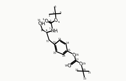 CC(C)(C)OC(=O)N[C@H](CO)Cc1ccc(OC(=O)OC(C)(C)C)cc1